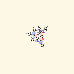 Cc1cc(C)c(-c2nc3c4c(n2)Oc2ccccc2B4c2cc4c(cc2N3)N(c2c(C)cc(C)cc2C)c2nc(-c3c(C)cc(C)cc3C)nc3c2B4c2cc4c(cc2N3c2c(C)cc(C)cc2C)N(c2c(C)cc(C)cc2C)c2nc(-c3c(C)cc(C)cc3C)nc3c2B4c2ccccc2O3)c(C)c1